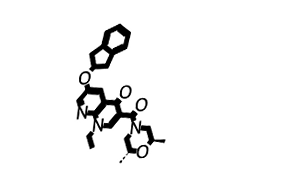 CCn1cc(C(=O)N2C[C@@H](C)O[C@H](C)C2)c(=O)c2cc(OC3Cc4ccccc4C3)cnc21